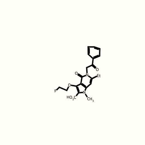 CCc1cc2c(c(OCCF)c(C(=O)O)n2C)c(=O)n1CC(=O)c1ccccc1